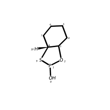 OP1OC2CCCC[C@H]2S1